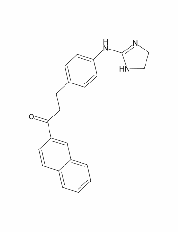 O=C(CCc1ccc(NC2=NCCN2)cc1)c1ccc2ccccc2c1